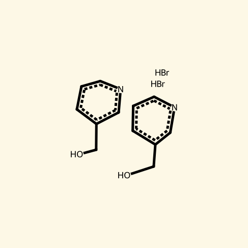 Br.Br.OCc1cccnc1.OCc1cccnc1